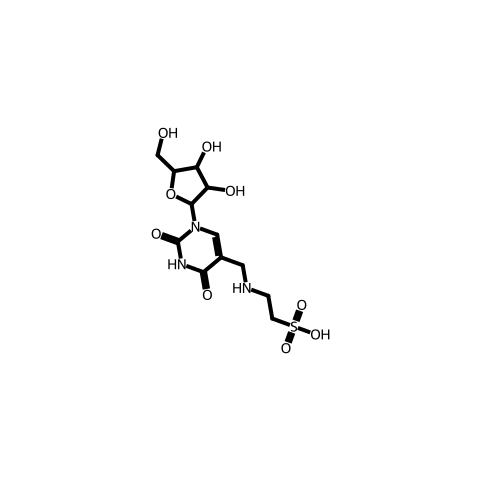 O=c1[nH]c(=O)n(C2OC(CO)C(O)C2O)cc1CNCCS(=O)(=O)O